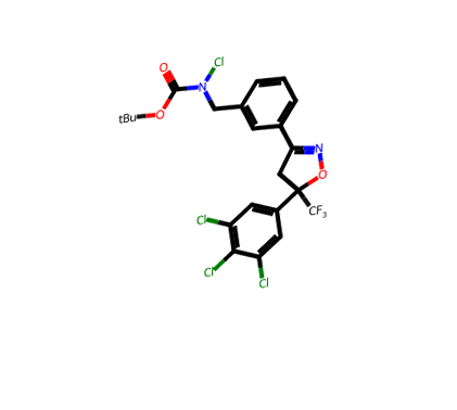 CC(C)(C)OC(=O)N(Cl)Cc1cccc(C2=NOC(c3cc(Cl)c(Cl)c(Cl)c3)(C(F)(F)F)C2)c1